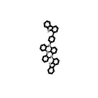 c1ccc2c(c1)B1c3ccccc3N(c3cccc4c3sc3ccccc34)c3cccc(c31)N2c1ccc(-c2cccc3c2sc2ccccc23)cc1